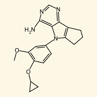 COc1cc(-n2c3c(c4ncnc(N)c42)CCC3)ccc1OC1CC1